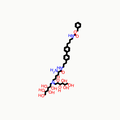 N[C@@H](CCCCN(C[C@H](O)[C@@H](O)[C@H](O)[C@H](O)CO)C[C@H](O)[C@@H](O)[C@H](O)[C@H](O)CO)C(=O)NCCCc1ccc(-c2ccc(CCCCNC(=O)OCc3ccccc3)cc2)cc1